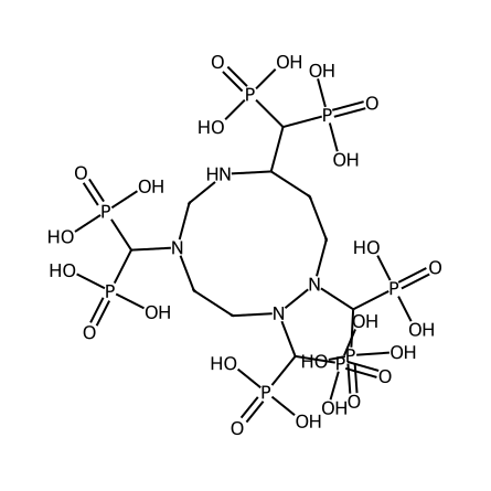 O=P(O)(O)C(C1CCN(C(P(=O)(O)O)P(=O)(O)O)N(C(P(=O)(O)O)P(=O)(O)O)CCN(C(P(=O)(O)O)P(=O)(O)O)CN1)P(=O)(O)O